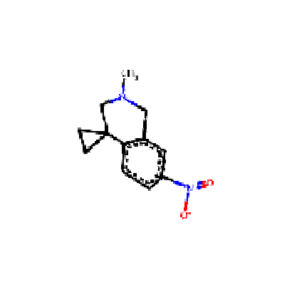 CN1Cc2cc([N+](=O)[O-])ccc2C2(CC2)C1